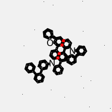 c1ccc(-c2ccccc2-c2cccc(N(c3ccc(-c4cccc5c4oc4ccccc45)cc3)c3ccccc3-c3ccc(-c4ccccc4-n4c5ccccc5c5ccccc54)cc3)c2)cc1